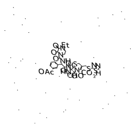 CCN1CCN(C(=O)NC(C(=O)N[C@]2(NC=O)C(=O)N3C(C(=O)O)=C(CSc4nncs4)CS[C@@H]32)c2cccc(OC(C)=O)c2)C(=O)C1=O